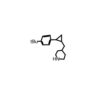 CC(C)(C)c1ccc(C2CC2CC2CCNCC2)cc1